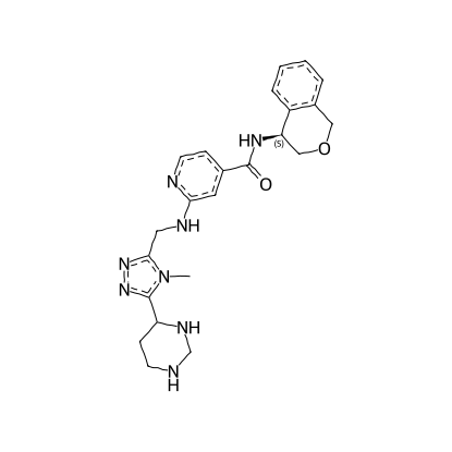 Cn1c(CNc2cc(C(=O)N[C@@H]3COCc4ccccc43)ccn2)nnc1C1CCNCN1